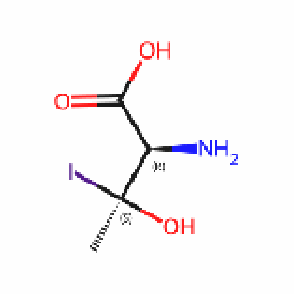 C[C@](O)(I)[C@H](N)C(=O)O